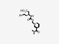 CC(C)CC[C@@H](CC(=O)O)NC(=O)OC[n+]1cccc(C(=O)N(C)C)c1